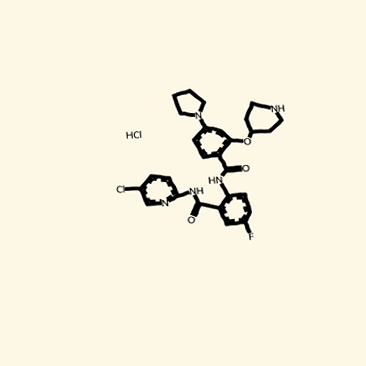 Cl.O=C(Nc1ccc(Cl)cn1)c1cc(F)ccc1NC(=O)c1ccc(N2CCCC2)cc1OC1CCNCC1